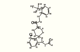 CC(=O)CC1CC2(CCN(C(=O)CCc3ccccc3C(F)(F)F)CC2)c2c(Cl)cccc21